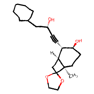 C[C@@]12CC[C@H](O)[C@@H](C#C[C@@H](O)CC3CCCCC3)[C@@H]1CC21OCCO1